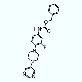 O=C(Nc1ccc(N2CCN(c3cncnc3)CC2)c(F)c1)OCc1ccccc1